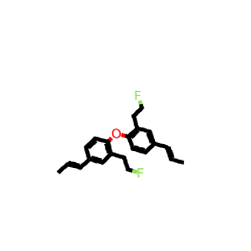 CC=Cc1ccc(Oc2ccc(C=CC)cc2CCF)c(CCF)c1